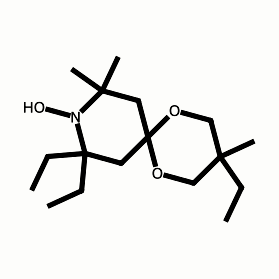 CCC1(C)COC2(CC(C)(C)N(O)C(CC)(CC)C2)OC1